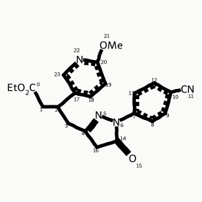 CCOC(=O)CC(CC1=NN(c2ccc(C#N)cc2)C(=O)C1)c1ccc(OC)nc1